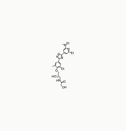 CCc1cc(-c2nc(-c3cc(C)c(OC[C@@H](O)CNC(=O)CO)c(CC)c3)no2)cc(N(C)CC)n1